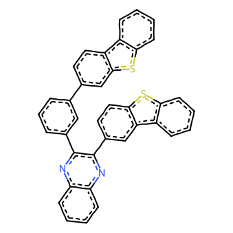 c1cc(-c2ccc3c(c2)sc2ccccc23)cc(-c2nc3ccccc3nc2-c2ccc3sc4ccccc4c3c2)c1